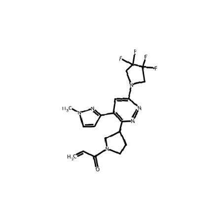 C=CC(=O)N1CCC(c2nnc(N3CC(F)(F)C(F)(F)C3)cc2-c2ccn(C)n2)C1